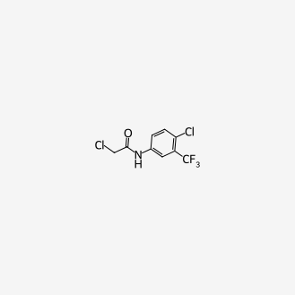 O=C(CCl)Nc1ccc(Cl)c(C(F)(F)F)c1